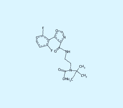 CC(C)(C)N(CCNC(=O)c1ncoc1-c1c(F)cccc1F)C(=O)O